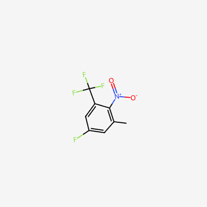 Cc1cc(F)cc(C(F)(F)F)c1[N+](=O)[O-]